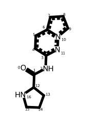 O=C(Nc1ccc2cccn2n1)C1CCCN1